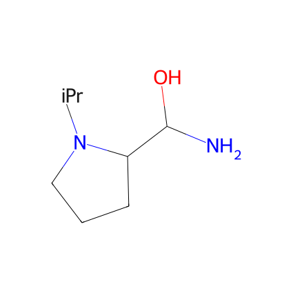 CC(C)N1CCCC1C(N)O